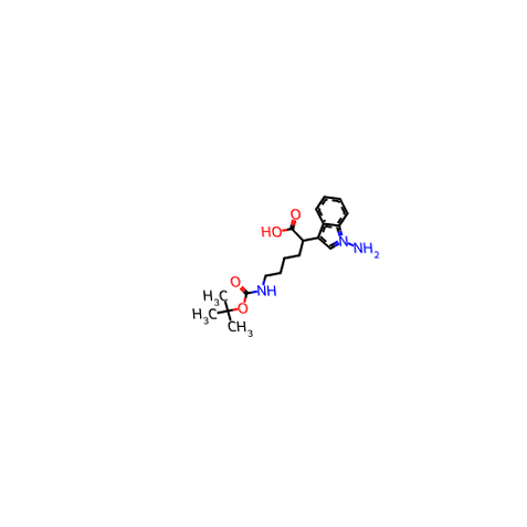 CC(C)(C)OC(=O)NCCCCC(C(=O)O)c1cn(N)c2ccccc12